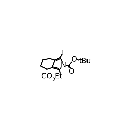 CCOC(=O)c1c2c(c(I)n1C(=O)OC(C)(C)C)CCCC2